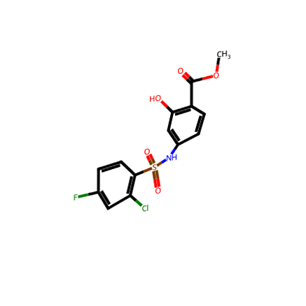 COC(=O)c1ccc(NS(=O)(=O)c2ccc(F)cc2Cl)cc1O